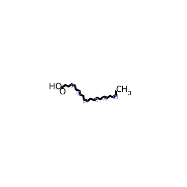 CC/C=C\C/C=C/C/C=C/C/C=C\C/C=C/C/C=C\CCC(=O)O